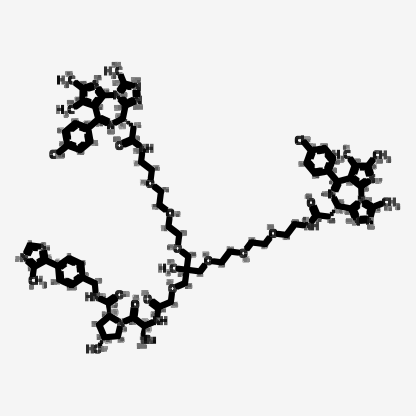 Cc1ncsc1-c1ccc(CNC(=O)[C@@H]2C[C@@H](O)CN2C(=O)[C@@H](NC(=O)COCC(C)(COCCOCCOCCNC(=O)C[C@@H]2N=C(c3ccc(Cl)cc3)c3c(sc(C)c3C)-n3c(C)nnc32)COCCOCCOCCNC(=O)C[C@@H]2N=C(c3ccc(Cl)cc3)c3c(sc(C)c3C)-n3c(C)nnc32)C(C)(C)C)cc1